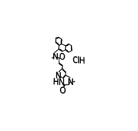 CN1CC(=O)Nc2ncc(C=CC(=O)N(C)Cc3cc4ccccc4c4ccccc34)cc2C1.Cl